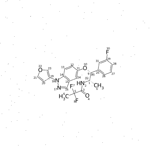 C[C@H](NC(=O)C(C)(F)F)[C@H](Oc1ccc2c(cnn2-c2ccoc2)c1)c1cccc(F)c1